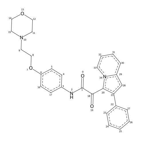 O=C(Nc1ccc(OCCN2CCOCC2)cc1)C(=O)c1c(-c2ccccc2)cc2ccccn12